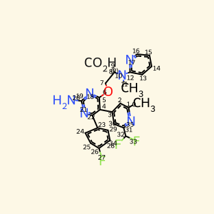 Cc1cc(-c2c(OC[C@H](C(=O)O)N(C)c3ccccn3)nc(N)nc2-c2ccc(F)cc2)cc(C(F)F)n1